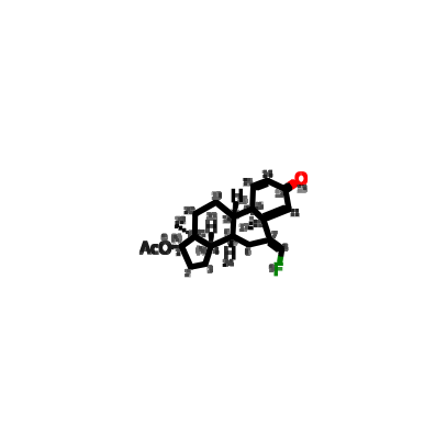 CC(=O)O[C@H]1CC[C@H]2[C@@H]3CC(=CF)C4=CC(=O)C=C[C@]4(C)[C@H]3CC[C@]12C